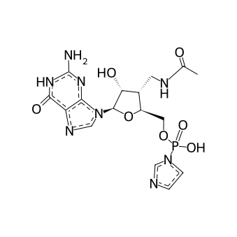 CC(=O)NC[C@H]1[C@@H](O)[C@H](n2cnc3c(=O)[nH]c(N)nc32)O[C@@H]1COP(=O)(O)n1ccnc1